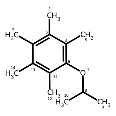 Cc1c(C)c(C)c(OC(C)C)c(C)c1C